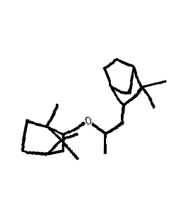 CC(CC1C2CCC(C2)C1(C)C)OC1CC2CCC1(C)C2(C)C